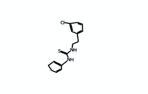 S=C(NCCc1cccc(Cl)c1)NC1=CC[CH]C=C1